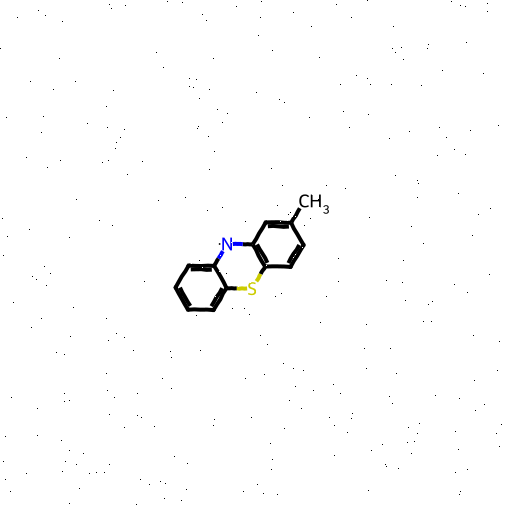 Cc1ccc2c(c1)[N]c1ccccc1S2